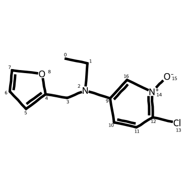 CCN(Cc1ccco1)c1ccc(Cl)[n+]([O-])c1